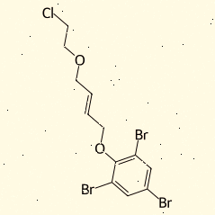 ClCCOCC=CCOc1c(Br)cc(Br)cc1Br